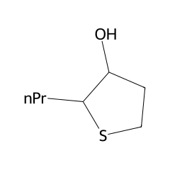 CCCC1SCCC1O